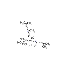 CC(=O)O.CCCC=CC=C(C/C=C(\C)CCC=C(C)C)C(=O)OC/C=C(\C)CCC=C(C)C